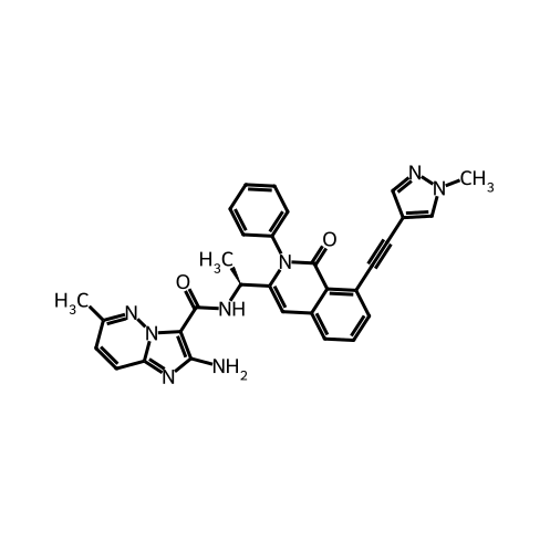 Cc1ccc2nc(N)c(C(=O)N[C@@H](C)c3cc4cccc(C#Cc5cnn(C)c5)c4c(=O)n3-c3ccccc3)n2n1